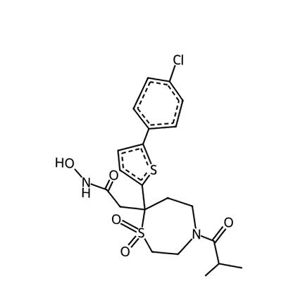 CC(C)C(=O)N1CCC(CC(=O)NO)(c2ccc(-c3ccc(Cl)cc3)s2)S(=O)(=O)CC1